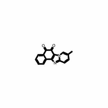 Cc1ccc2nc3c(n2c1)C(=O)C(=O)c1ccccc1-3